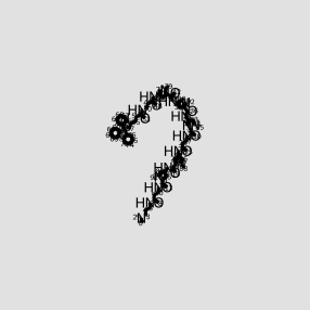 CN(C)CCCNC(=O)CCNC(=O)c1cc(NC(=O)c2cc(NC(=O)CCNC(=O)c3nc(NC(=O)c4cc(NC(=O)c5cc(NC(=O)CCNC(=O)CCCC[PH](c6ccccc6)(c6ccccc6)c6ccccc6)cn5C)cn4C)cn3C)cn2C)cn1C